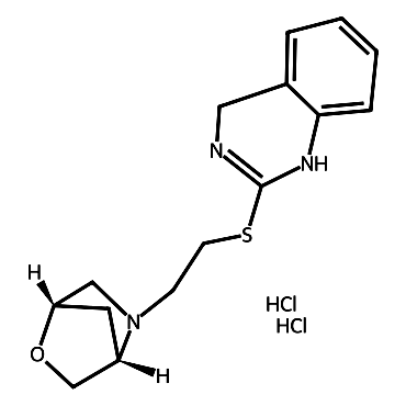 Cl.Cl.c1ccc2c(c1)CN=C(SCCN1C[C@@H]3C[C@H]1CO3)N2